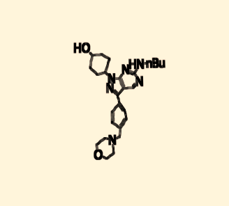 CCCCNc1ncc2c(-c3ccc(CN4CCOCC4)cc3)nn(C3CCC(O)CC3)c2n1